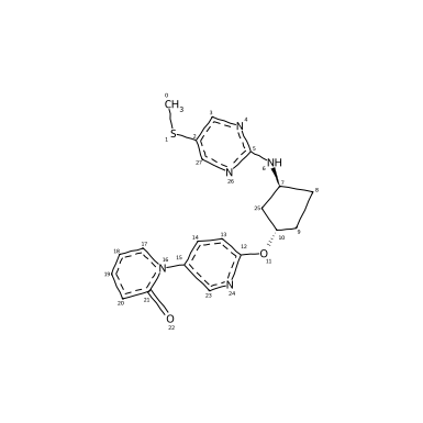 CSc1cnc(N[C@H]2CC[C@H](Oc3ccc(-n4ccccc4=O)cn3)C2)nc1